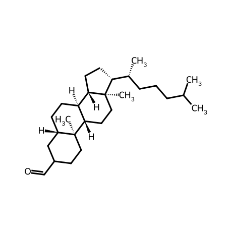 CC(C)CCC[C@@H](C)[C@H]1CC[C@H]2[C@@H]3CC[C@H]4CC(C=O)CC[C@]4(C)[C@H]3CC[C@]12C